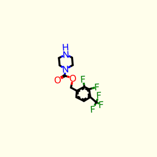 O=C(OCc1ccc(C(F)(F)F)c(F)c1F)N1CCNCC1